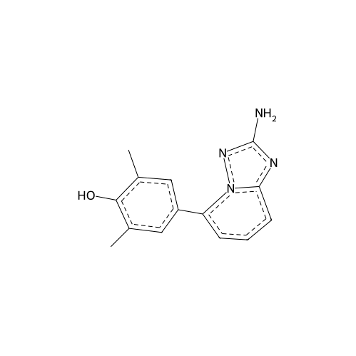 Cc1cc(-c2cccc3nc(N)nn23)cc(C)c1O